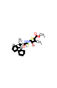 COC(=O)c1sc(NC(=S)CO[Si](c2ccccc2)(c2ccccc2)C(C)(C)C)c(Br)c1C